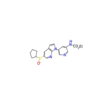 CCOC(=O)Nc1cncc(-n2ccc3cc([S+]([O-])C4CCCC4)cnc32)c1